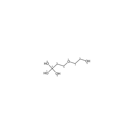 OCCOCCC(O)(O)O